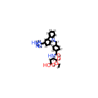 CCOC(=O)C(CC(=O)O)NC(=O)c1ccc(Cn2c3ccccc3c3cc(-c4nn[nH]n4)ccc32)cc1